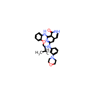 CC(C)CCOc1ccccc1Nc1nc(Nc2cccc(N3CCOCC3)c2)cc2cc[nH]c(=O)c12